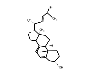 CC(C)[C@@H](C)/C=C/[C@@H](C)[C@H]1CCC2C3=CC=C4C[C@@H](O)CCC4(C)[C@@H]3CC[C@@]21C